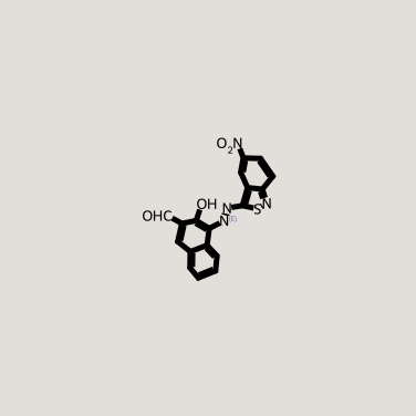 O=Cc1cc2ccccc2c(/N=N/c2snc3ccc([N+](=O)[O-])cc23)c1O